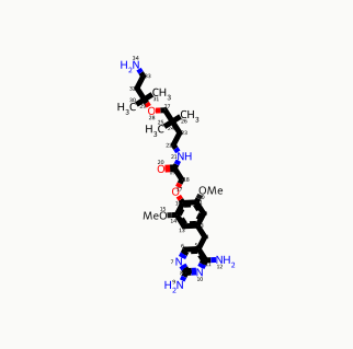 COc1cc(Cc2cnc(N)nc2N)cc(OC)c1OCC(=O)NCCC(C)(C)COC(C)(C)CCN